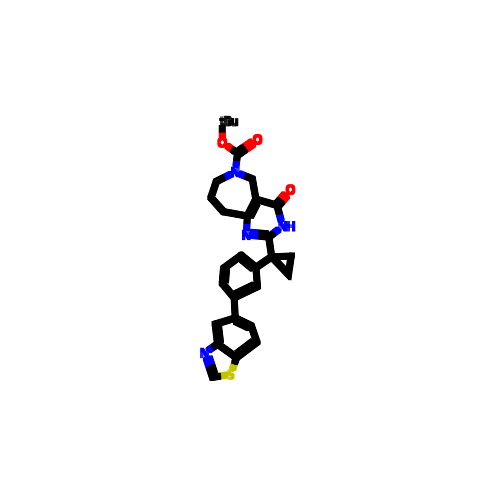 CC(C)(C)OC(=O)N1CCCc2nc(C3(c4cccc(-c5ccc6scnc6c5)c4)CC3)[nH]c(=O)c2C1